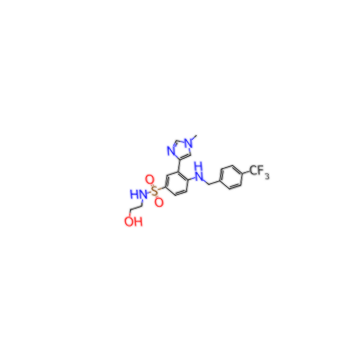 Cn1cnc(-c2cc(S(=O)(=O)NCCO)ccc2NCc2ccc(C(F)(F)F)cc2)c1